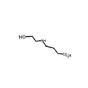 O=C(O)CCCNCCO